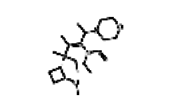 C=CN(CC)/C(=C(/C)C(C)(CC)[C@H]1CC[C@@H]1OC)C(C)N1CCOCC1